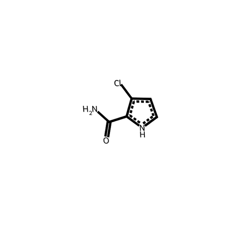 NC(=O)c1[nH]ccc1Cl